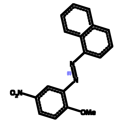 COc1ccc([N+](=O)[O-])cc1/N=N/c1cccc2ccccc12